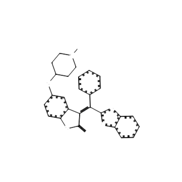 CN1CCC(Nc2ccc3c(c2)/C(=C(\c2ccccc2)c2nc4ccccc4[nH]2)C(=O)N3)CC1